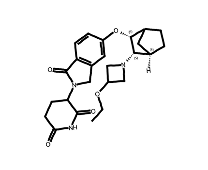 CCOC1CN([C@H]2[C@@H]3CCC(C3)[C@H]2Oc2ccc3c(c2)CN(C2CCC(=O)NC2=O)C3=O)C1